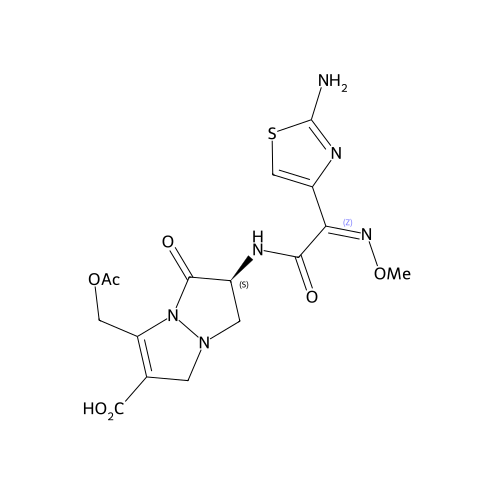 CO/N=C(\C(=O)N[C@H]1CN2CC(C(=O)O)=C(COC(C)=O)N2C1=O)c1csc(N)n1